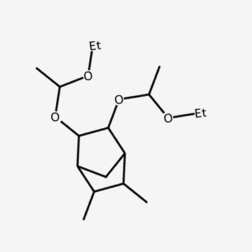 CCOC(C)OC1C2CC(C(C)C2C)C1OC(C)OCC